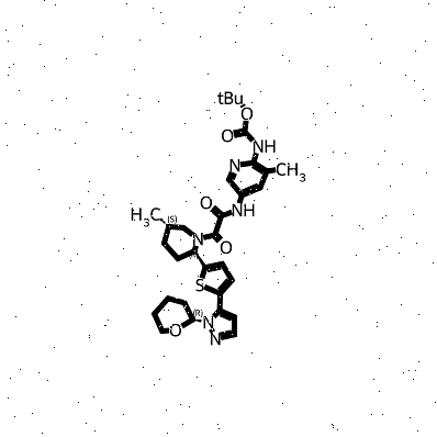 Cc1cc(NC(=O)C(=O)N2C[C@@H](C)CC[C@@H]2c2ccc(-c3ccnn3[C@H]3CCCCO3)s2)cnc1NC(=O)OC(C)(C)C